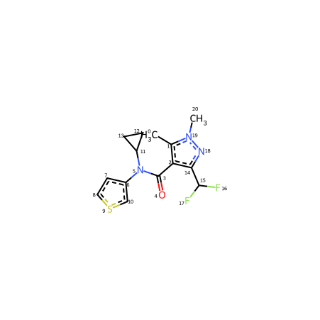 Cc1c(C(=O)N(c2ccsc2)C2CC2)c(C(F)F)nn1C